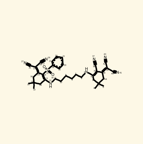 CC1(C)CC(NCCCCCCNC2=C(S(=O)(=O)c3ccccc3)C(=C(C#N)C#N)CC(C)(C)C2)=C(C#N)C(=C(C#N)C#N)C1